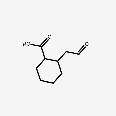 O=[C]CC1CCCCC1C(=O)O